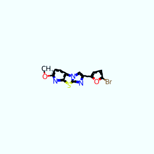 COc1ccc2c(n1)sc1nc(-c3ccc(Br)o3)cn12